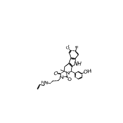 C=CCNCCCN1C(=O)N2C(c3cccc(O)c3)c3[nH]c4cc(F)c(OC)cc4c3CC2(C)C1=O